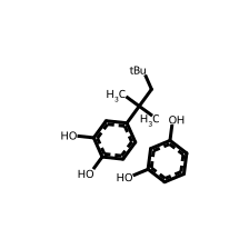 CC(C)(C)CC(C)(C)c1ccc(O)c(O)c1.Oc1cccc(O)c1